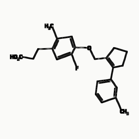 Cc1cccc(C2=C(COc3cc(C)c(CCC(=O)O)cc3F)CCC2)c1